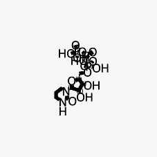 O=C1NCCCN1[C@@H]1O[C@H](COP(=O)(O)OP(=O)(O)OP(=O)(O)O)[C@@H](O)[C@H]1O